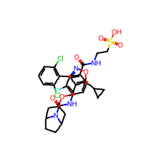 O=C(NCCS(=O)(=O)O)c1ccc(NC(=O)N2C3CCC2CC(OCc2c(-c4c(Cl)cccc4Cl)noc2C2CC2)C3)c(F)c1